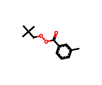 Cc1cccc(C(=O)OO[CH]C(C)(C)C)c1